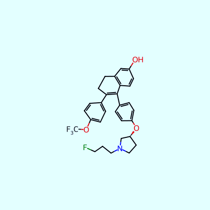 Oc1ccc2c(c1)CCC(c1ccc(OC(F)(F)F)cc1)=C2c1ccc(O[C@H]2CCN(CCCF)C2)cc1